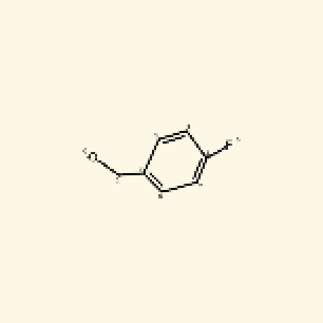 [O]Cc1ccc(F)cc1